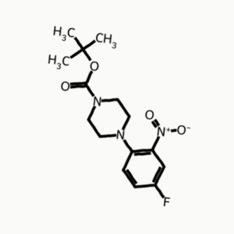 CC(C)(C)OC(=O)N1CCN(c2ccc(F)cc2[N+](=O)[O-])CC1